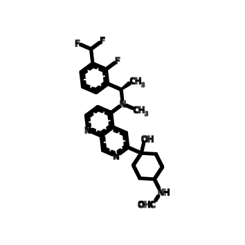 C[C@H](c1cccc(C(F)F)c1F)N(C)c1ccnc2cnc(C3(O)CCC(NC=O)CC3)cc12